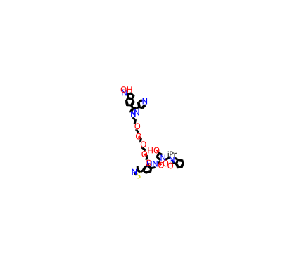 Cc1ncsc1-c1ccc(CNC(=O)[C@@H]2C[C@@H](O)CN2C(=O)[C@H](C(C)C)N2Cc3ccccc3C2=O)c(OCCOCCOCCOCCOCCCn2cc(-c3ccc4c(c3)CC/C4=N\O)c(-c3ccncc3)n2)c1